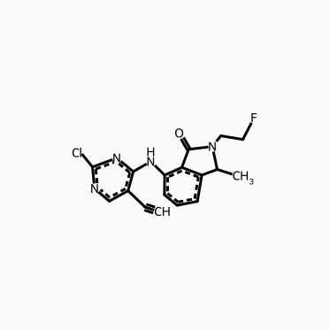 C#Cc1cnc(Cl)nc1Nc1cccc2c1C(=O)N(CCF)C2C